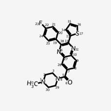 CN1CCN(C(=O)c2ccc3nc(-c4cccs4)c(-c4ccc(F)cc4)nc3c2)CC1